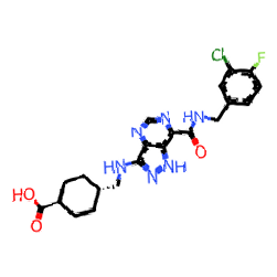 O=C(NCc1ccc(F)c(Cl)c1)c1ncnc2c(NC[C@H]3CC[C@H](C(=O)O)CC3)n[nH]c12